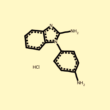 Cl.Nc1ccc(-n2c(N)nc3ccccc32)cc1